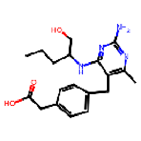 CCCC(CO)Nc1nc(N)nc(C)c1Cc1ccc(CC(=O)O)cc1